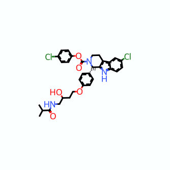 CC(C)C(=O)NCC(O)CCOc1ccc([C@H]2c3[nH]c4ccc(Cl)cc4c3CCN2C(=O)Oc2ccc(Cl)cc2)cc1